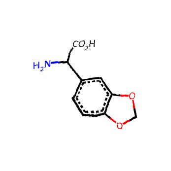 NC(C(=O)O)c1ccc2c(c1)OCO2